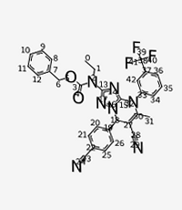 CCN(C(=O)OCc1ccccc1)c1nc2n(n1)[C@H](c1ccc(C#N)cc1)C(C#N)=C(C)N2c1cccc(C(F)(F)F)c1